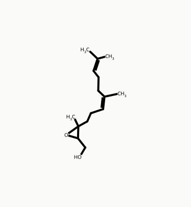 CC(C)=CCCC(C)=CCCC1(C)OC1CO